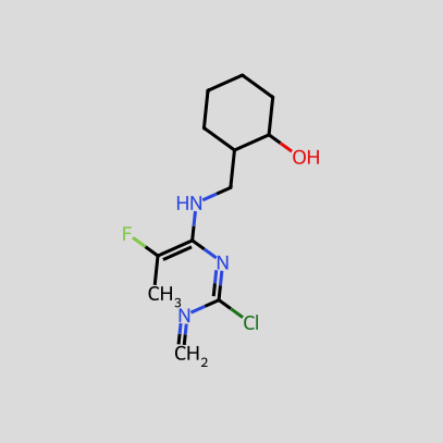 C=N/C(Cl)=N\C(NCC1CCCCC1O)=C(/C)F